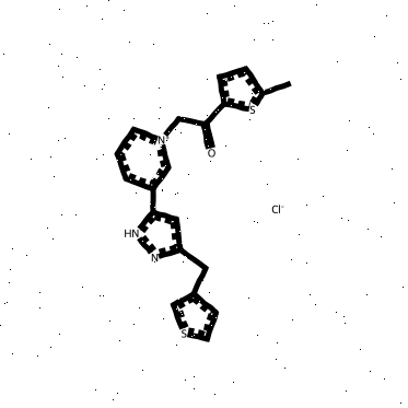 Cc1ccc(C(=O)C[n+]2cccc(-c3cc(Cc4ccsc4)n[nH]3)c2)s1.[Cl-]